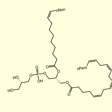 CCCCC/C=C\C/C=C\C/C=C\C/C=C\CCCC(=O)OC[C@H](COP(=O)(O)OC[C@@H](O)CO)OC(=O)CCCCCCC/C=C\CCCCCCCCC